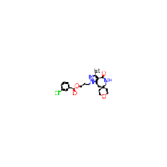 CCc1nn(CCCOC(=O)c2cccc(Cl)c2)c2c1C(=O)NCC1(CCOCC1)C2